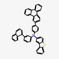 c1cc(-c2cccc3ccccc23)cc(N(c2ccc(-c3ccc4c5ccccc5c5ccccc5c4c3)cc2)c2ccc3sc4ccccc4c3c2)c1